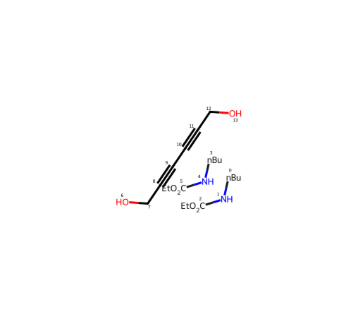 CCCCNC(=O)OCC.CCCCNC(=O)OCC.OCC#CC#CCO